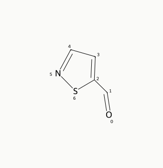 O=Cc1ccns1